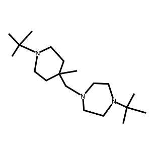 CC1(CN2CCN(C(C)(C)C)CC2)CCN(C(C)(C)C)CC1